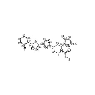 CCC(=O)N1CCC(c2nc(C3=NOC(c4ccccc4F)C3)cs2)CC1n1nc(C)cc1C